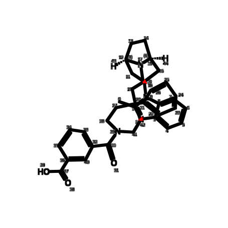 Cc1nc2ccccc2n1C1C[C@H]2CC[C@@H](C1)N2CCC1(c2ccccc2)CCN(C(=O)c2cccc(C(=O)O)c2)CC1